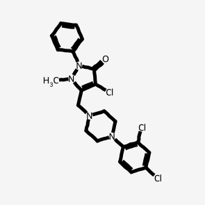 Cn1c(CN2CCN(c3ccc(Cl)cc3Cl)CC2)c(Cl)c(=O)n1-c1ccccc1